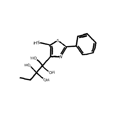 CCC(O)(O)C(O)(O)c1nc(-c2ccccc2)sc1S